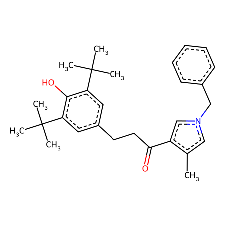 Cc1cn(Cc2ccccc2)cc1C(=O)CCc1cc(C(C)(C)C)c(O)c(C(C)(C)C)c1